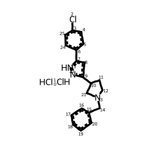 Cl.Cl.Clc1ccc(-c2cc(C3CCN(Cc4ccccc4)C3)n[nH]2)cc1